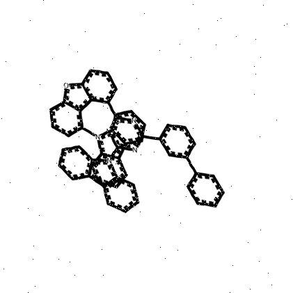 c1ccc(-c2cccc(-c3nc(-c4cccc5oc6cccc(-n7c8ccccc8c8ccccc87)c6c45)nc(-n4c5ccccc5c5ccccc54)n3)c2)cc1